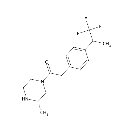 CC(c1ccc(CC(=O)N2CCN[C@@H](C)C2)cc1)C(F)(F)F